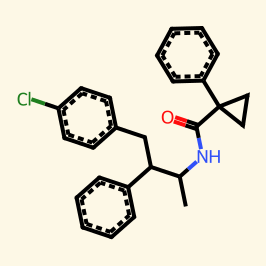 CC(NC(=O)C1(c2ccccc2)CC1)C(Cc1ccc(Cl)cc1)c1ccccc1